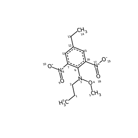 CCCN(OC)c1c([N+](=O)[O-])cc(CC)cc1[N+](=O)[O-]